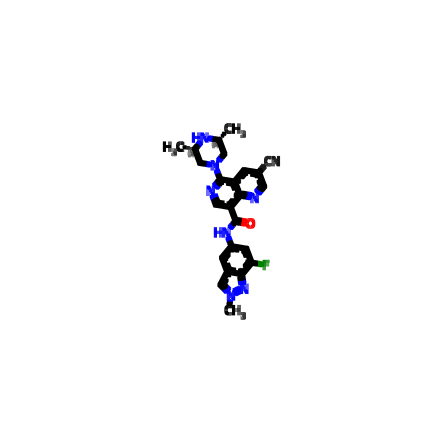 C[C@@H]1CN(c2ncc(C(=O)Nc3cc(F)c4nn(C)cc4c3)c3ncc(C#N)cc23)C[C@H](C)N1